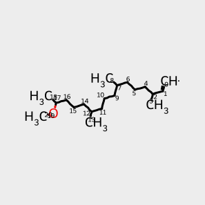 [CH]=CC(C)CCCC(C)CCCC(C)CCCC(C)OC